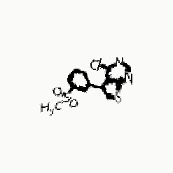 CS(=O)(=O)c1cccc(-c2csc3ncnc(Cl)c23)c1